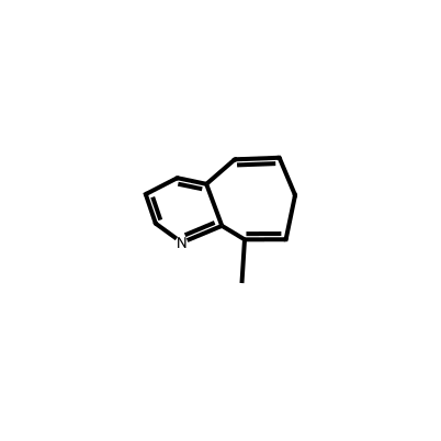 CC1=CCC=Cc2cccnc21